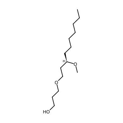 CCCCCCC[C@H](CCOCCCO)OC